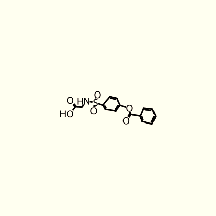 O=C(O)CNS(=O)(=O)c1ccc(OC(=O)c2ccccc2)cc1